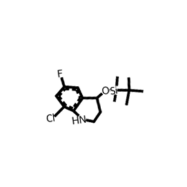 CC(C)(C)[Si](C)(C)OC1CCNc2c(Cl)cc(F)cc21